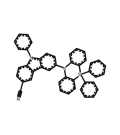 N#Cc1ccc2c(c1)c1cc(N3c4ccccc4[Si](c4ccccc4)(c4ccccc4)c4ccccc43)ccc1n2-c1ccccc1